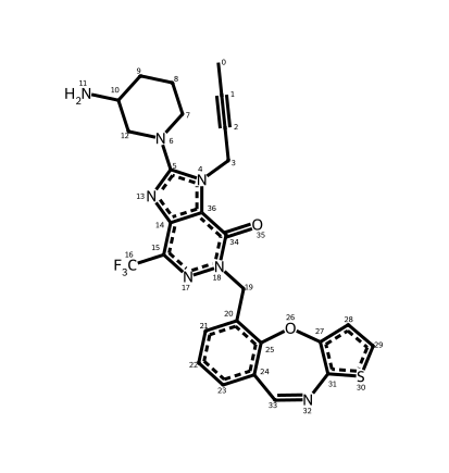 CC#CCn1c(N2CCCC(N)C2)nc2c(C(F)(F)F)nn(Cc3cccc4c3Oc3ccsc3N=C4)c(=O)c21